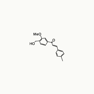 COc1cc(C(=O)/C=C/c2ccc(C)cc2)ccc1CO